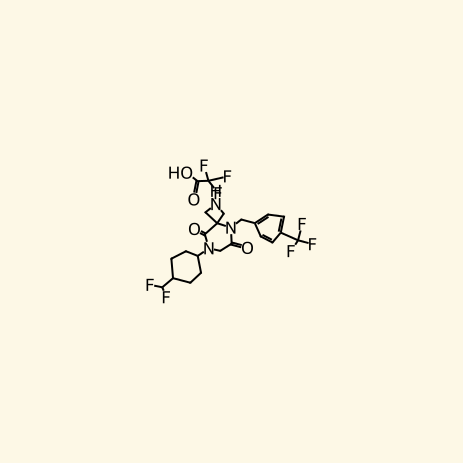 O=C(O)C(F)(F)F.O=C1CN(C2CCC(C(F)F)CC2)C(=O)C2(CNC2)N1Cc1ccc(C(F)(F)F)cc1